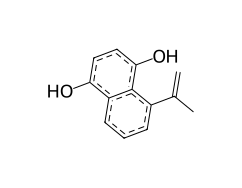 C=C(C)c1cccc2c(O)ccc(O)c12